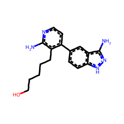 Nc1nccc(-c2ccc3[nH]nc(N)c3c2)c1CCCCCO